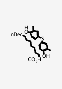 CCCCCCCCCCCCCCCCCC(=O)O.Cc1cc(Sc2ccc(O)c(C)c2)ccc1O